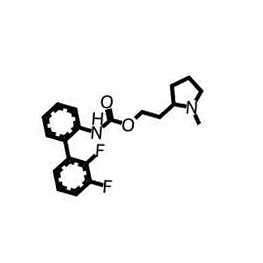 CN1CCCC1CCOC(=O)Nc1ccccc1-c1cccc(F)c1F